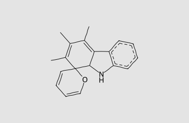 CC1=C2c3ccccc3NC2C2(C=CC=CO2)C(C)=C1C